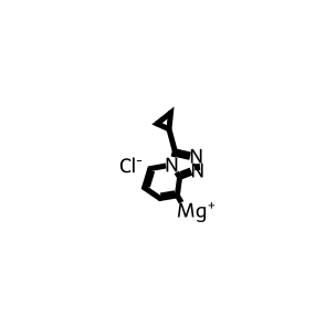 [Cl-].[Mg+][c]1cccn2c(C3CC3)nnc12